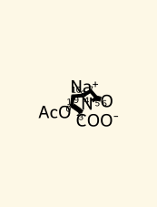 CC(=O)OC1=C(C(=O)[O-])N2C(=O)CC2C1.[Na+]